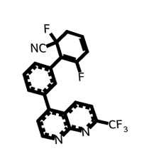 N#CC1(F)CC=CC(F)=C1c1cccc(-c2ccnc3nc(C(F)(F)F)ccc23)c1